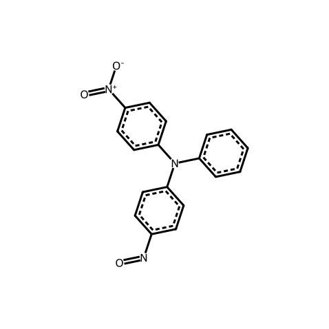 O=Nc1ccc(N(c2ccccc2)c2ccc([N+](=O)[O-])cc2)cc1